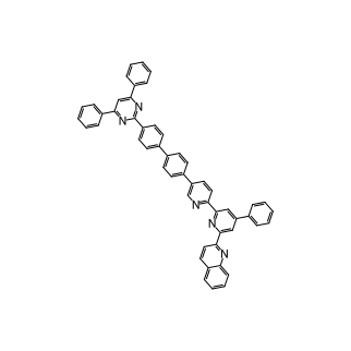 c1ccc(-c2cc(-c3ccc(-c4ccc(-c5ccc(-c6nc(-c7ccccc7)cc(-c7ccccc7)n6)cc5)cc4)cn3)nc(-c3ccc4ccccc4n3)c2)cc1